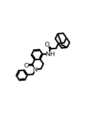 O=C(CC12CC3CC(CC(C3)C1)C2)Nc1cccc2c1CCN(Cc1ccccc1)C2=O